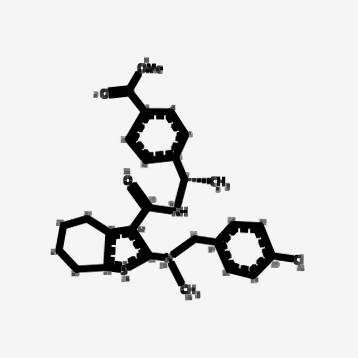 COC(=O)c1ccc([C@H](C)NC(=O)c2c(N(C)Cc3ccc(Cl)cc3)sc3c2CCCC3)cc1